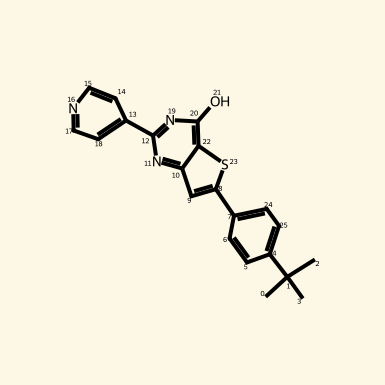 CC(C)(C)c1ccc(-c2cc3nc(-c4ccncc4)nc(O)c3s2)cc1